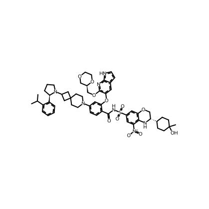 CC(C)c1ccccc1[C@H]1CCCN1C1CC2(CCN(c3ccc(C(=O)NS(=O)(=O)c4cc5c(c([N+](=O)[O-])c4)N[C@@H](C4CCC(C)(O)CC4)CO5)c(Oc4cc5cc[nH]c5nc4OC[C@H]4COCCO4)c3)CC2)C1